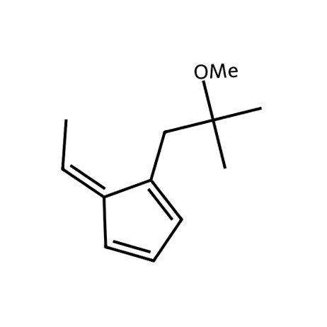 CC=C1C=CC=C1CC(C)(C)OC